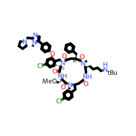 COC[C@@H]1NC(=O)[C@H](C)N(Cc2ccc(Cl)cc2Oc2ccc(-c3cnc(CN4CCCC4)n3C)cc2)C(=O)C[C@@H](Cc2ccccc2)C(=O)N(C)[C@@H](CCCCNC(C)(C)C)CNC(=O)CC(Cc2ccc(Cl)cc2)N(C)C1=O